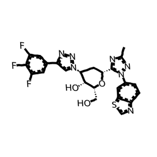 Cc1nc([C@H]2C[C@@H](n3cc(-c4cc(F)c(F)c(F)c4)nn3)[C@@H](O)[C@@H](CO)O2)n(-c2ccc3ncsc3c2)n1